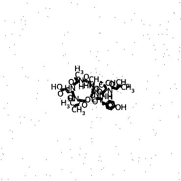 C/C=C1\NC(=O)[C@H](C)NC(=O)[C@@H](NC(=O)[C@H](Cc2ccc(O)cc2)NC(=O)[C@@H](NC(=O)C=C(C)C)C(C)C)[C@@H](C)OC(=O)[C@H](CC(C)C)NC(=O)[C@@H](CCC(=O)O)NC1=O